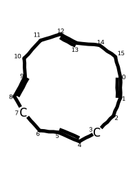 C1=C\CC/C=C/CC/C=C/CC/C=C/CC/1